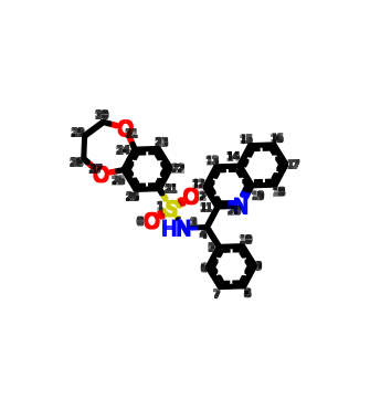 O=S(=O)(NC(c1ccccc1)c1ccc2ccccc2n1)c1ccc2c(c1)OCCCO2